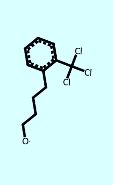 [O]CCCCc1ccccc1C(Cl)(Cl)Cl